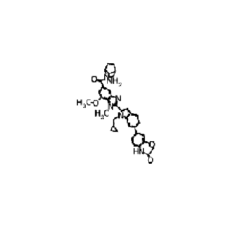 COc1cc(C(=O)N2CC3CCC2C3N)cc2nc(-c3cc4ccc(-c5ccc6c(c5)OCC(=O)N6)cc4n3CC3CC3)n(C)c12